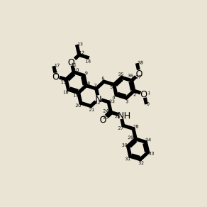 COc1ccc(CC2c3cc(OC(C)C)c(OC)cc3CCN2CC(=O)NCCc2ccccc2)cc1OC